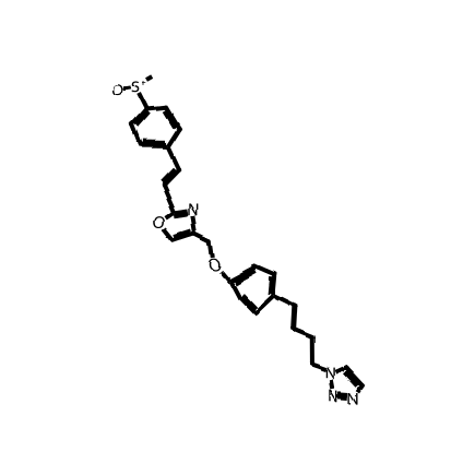 C[S+]([O-])c1ccc(C=Cc2nc(COc3ccc(CCCCn4ccnn4)cc3)co2)cc1